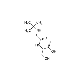 CC(C)(C)NCC(=O)NC(CO)C(=O)O